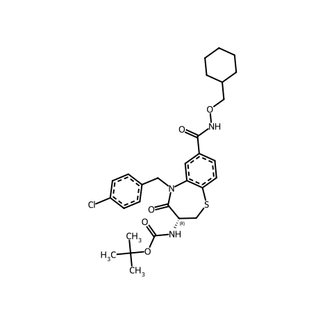 CC(C)(C)OC(=O)N[C@H]1CSc2ccc(C(=O)NOCC3CCCCC3)cc2N(Cc2ccc(Cl)cc2)C1=O